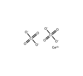 [Ge+4].[O]=[Cr](=[O])([O-])[O-].[O]=[Cr](=[O])([O-])[O-]